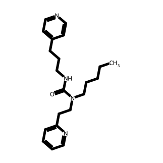 CCCCCN(CCc1ccccn1)C(=O)NCCCc1ccncc1